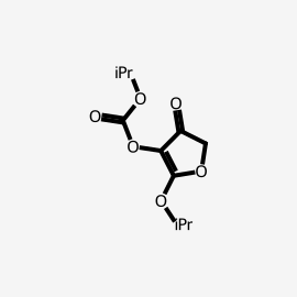 CC(C)OC(=O)OC1=C(OC(C)C)OCC1=O